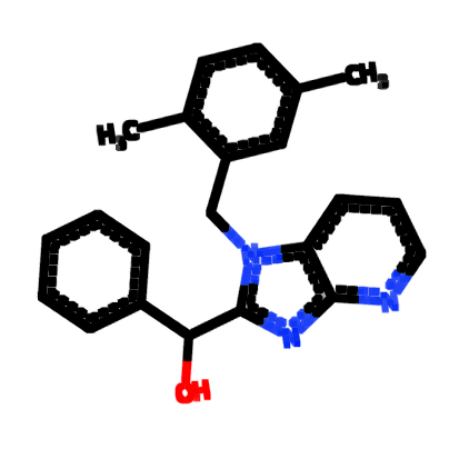 Cc1ccc(C)c(Cn2c(C(O)c3ccccc3)nc3ncccc32)c1